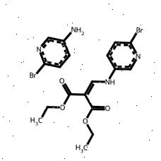 CCOC(=O)C(=CNc1ccc(Br)nc1)C(=O)OCC.Nc1ccc(Br)nc1